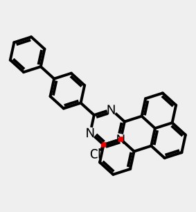 Clc1nc(-c2ccc(-c3ccccc3)cc2)nc(-c2cccc3cccc(-c4ccccc4)c23)n1